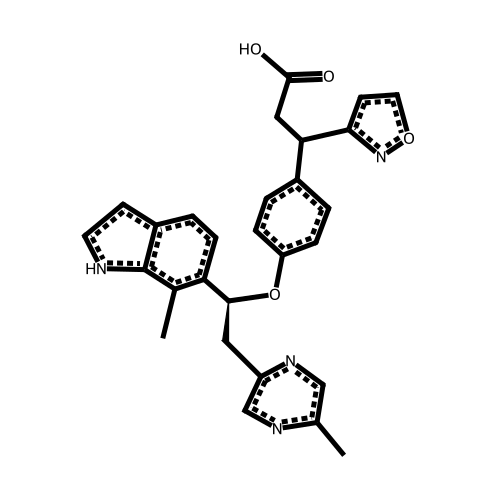 Cc1cnc(C[C@H](Oc2ccc(C(CC(=O)O)c3ccon3)cc2)c2ccc3cc[nH]c3c2C)cn1